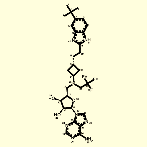 CC(C)(C)c1ccc2[nH]c(CC[C@H]3C[C@H](N(C[C@H]4O[C@@H](n5cnc6c(N)ncnc65)[C@@H](O)[C@H]4O)CC(F)(F)F)C3)nc2c1